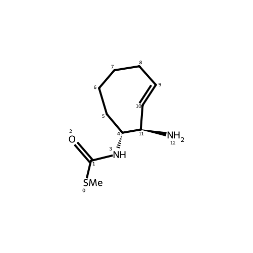 CSC(=O)N[C@@H]1CCCC/C=C/[C@H]1N